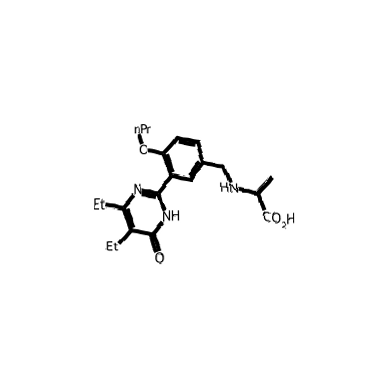 CCCOc1ccc(CNC(C)C(=O)O)cc1-c1nc(CC)c(CC)c(=O)[nH]1